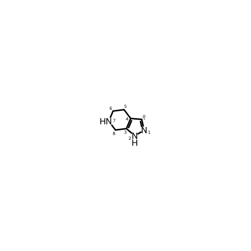 [c]1n[nH]c2c1CCNC2